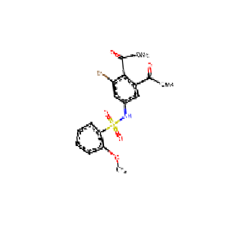 COC(=O)c1cc(NS(=O)(=O)c2ccccc2OC(F)(F)F)cc(Br)c1C(=O)OC